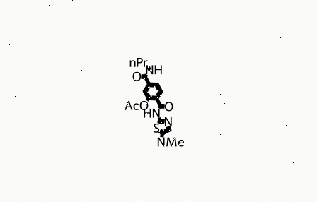 CCCNC(=O)c1ccc(C(=O)Nc2ncc(NC)s2)c(OC(C)=O)c1